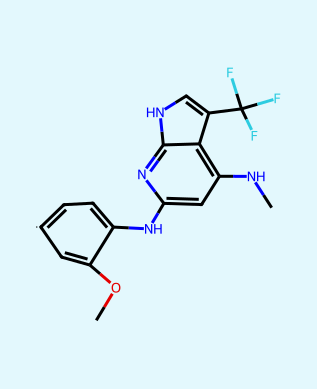 CNc1cc(Nc2cc[c]cc2OC)nc2[nH]cc(C(F)(F)F)c12